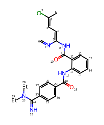 C=N/C(=C\C=C(/C)Cl)NC(=O)c1ccccc1NC(=O)c1ccc(C(=N)N(CC)CC)cc1